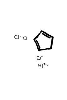 C1=CCC=C1.[Cl-].[Cl-].[Cl-].[Hf+3]